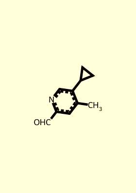 Cc1cc(C=O)ncc1C1CC1